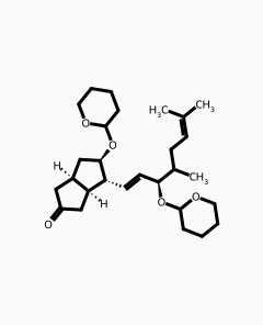 CC(C)=CCC(C)[C@H](/C=C/[C@@H]1[C@H]2CC(=O)C[C@H]2C[C@H]1OC1CCCCO1)OC1CCCCO1